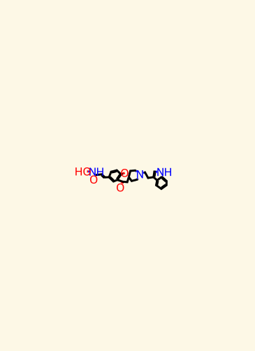 O=C(C=Cc1ccc2c(c1)C(=O)CC1(CCN(CCc3c[nH]c4ccccc34)CC1)O2)NO